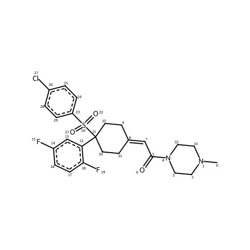 CN1CCN(C(=O)C=C2CCC(c3cc(F)ccc3F)(S(=O)(=O)c3ccc(Cl)cc3)CC2)CC1